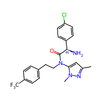 Cc1cc(N(CCc2ccc(C(F)(F)F)cc2)C(=O)[C@H](N)c2ccc(Cl)cc2)n(C)n1